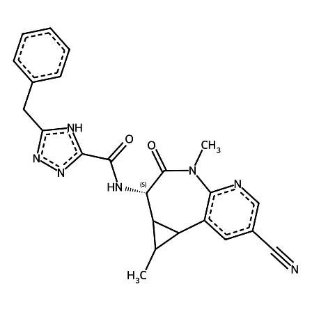 CC1C2c3cc(C#N)cnc3N(C)C(=O)[C@@H](NC(=O)c3nnc(Cc4ccccc4)[nH]3)C12